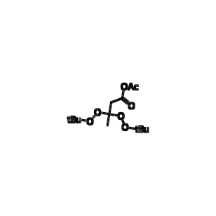 CC(=O)OC(=O)CC(C)(OOC(C)(C)C)OOC(C)(C)C